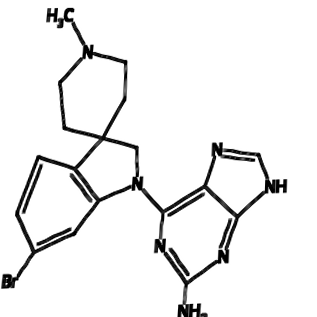 CN1CCC2(CC1)CN(c1nc(N)nc3[nH]cnc13)c1cc(Br)ccc12